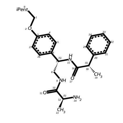 CCCC(C)COc1ccc([C@@H](CNC(=O)[C@H](C)N)NC(=O)[C@@H](C)c2ccccc2)cc1